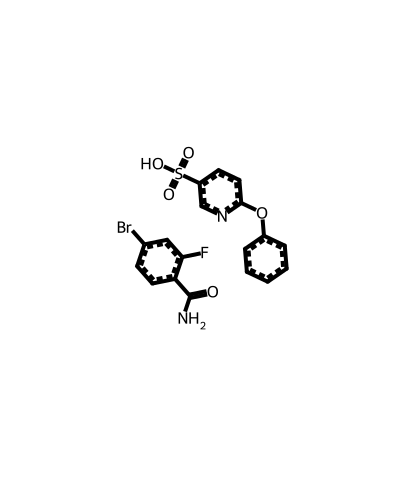 NC(=O)c1ccc(Br)cc1F.O=S(=O)(O)c1ccc(Oc2ccccc2)nc1